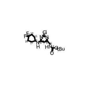 CC(C)(C)OC(=O)NCc1cc(NC2CCC(F)(F)CC2)nc(Cl)n1